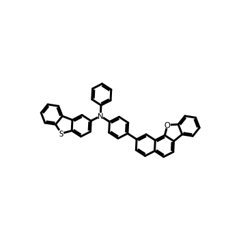 c1ccc(N(c2ccc(-c3ccc4ccc5c6ccccc6oc5c4c3)cc2)c2ccc3sc4ccccc4c3c2)cc1